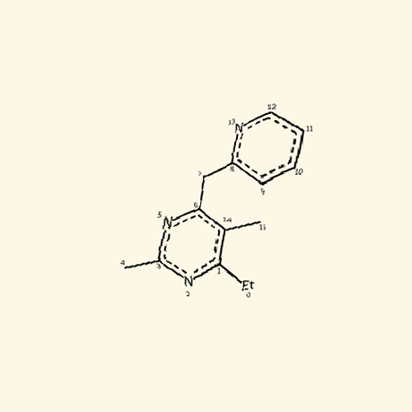 CCc1nc(C)nc(Cc2ccccn2)c1C